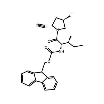 CC[C@H](C)[C@H](NC(=O)OCC1c2ccccc2-c2ccccc21)C(=O)N1C[C@H](F)C[C@H]1C#N